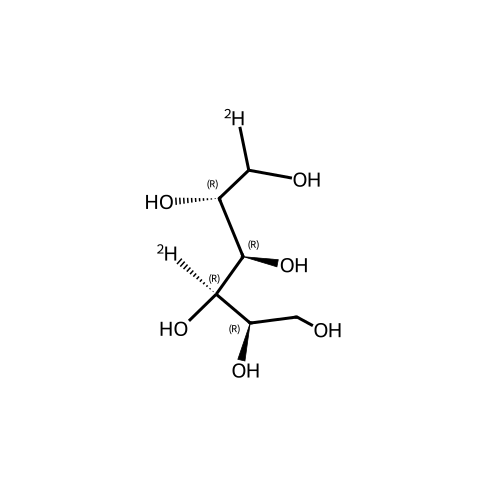 [2H]C(O)[C@@H](O)[C@@H](O)[C@]([2H])(O)[C@H](O)CO